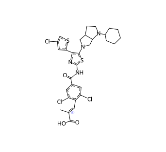 C/C(=C\c1c(Cl)cc(C(=O)Nc2nc(-c3cc(Cl)cs3)c(N3CC4CCN(C5CCCCC5)C4C3)s2)cc1Cl)C(=O)O